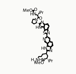 CON[C@H](CC(CCCN)c1nc2ccc3cc(-c4nc5ccc6nc([C@@H]7CCCN7C(=O)[C@@H](NC(=O)OC)C(C)C)[nH]c6c5s4)ncc3c2[nH]1)C(C)C